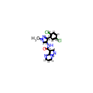 Cn1cc(NC(=O)c2cnn3cccnc23)c(-c2cc(Cl)ccc2Cl)n1